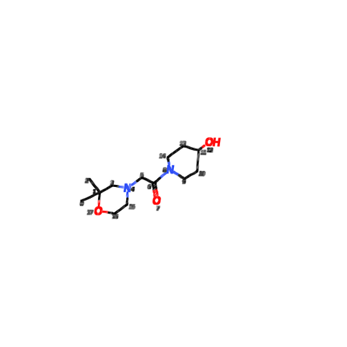 CC1(C)CN(CC(=O)N2CCC(O)CC2)CCO1